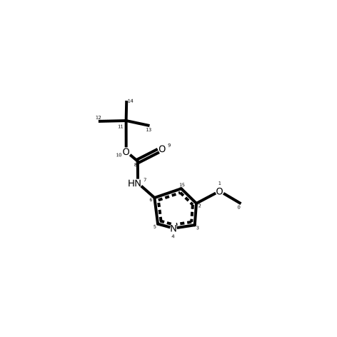 COc1cncc(NC(=O)OC(C)(C)C)c1